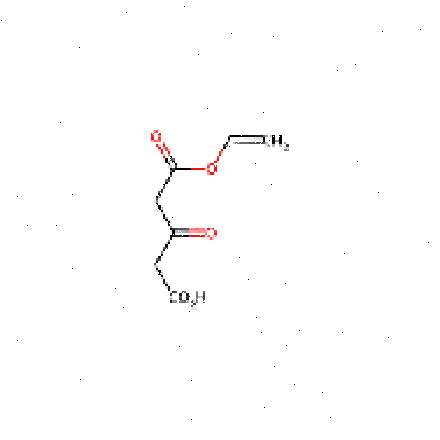 C=COC(=O)CC(=O)CC(=O)O